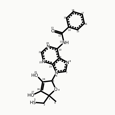 CC1(CS)OC(n2cnc3c(NC(=O)c4ccccc4)ncnc32)C(O)=C1O